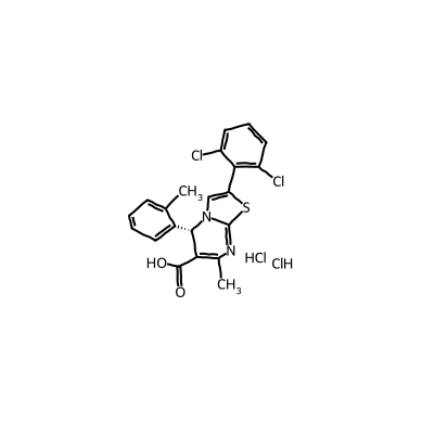 CC1=C(C(=O)O)[C@H](c2ccccc2C)N2C=C(c3c(Cl)cccc3Cl)SC2=N1.Cl.Cl